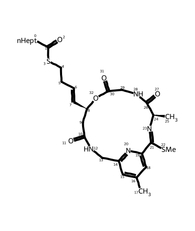 CCCCCCCC(=O)SCC/C=C/[C@@H]1CC(=O)NCc2cc(C)cc(n2)/C(SC)=N/[C@H](C)C(=O)NCC(=O)O1